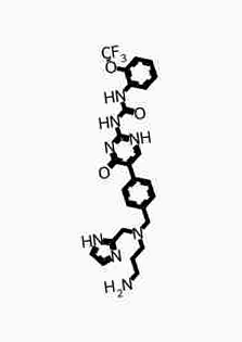 NCCCN(Cc1ccc(-c2c[nH]c(NC(=O)Nc3ccccc3OC(F)(F)F)nc2=O)cc1)Cc1ncc[nH]1